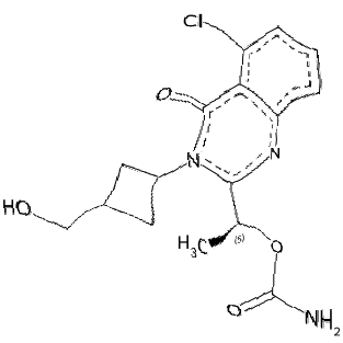 C[C@H](OC(N)=O)c1nc2cccc(Cl)c2c(=O)n1C1CC(CO)C1